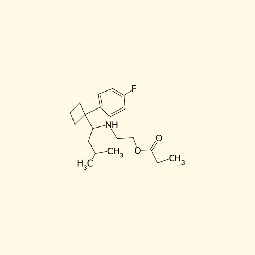 CCC(=O)OCCNC(CC(C)C)C1(c2ccc(F)cc2)CCC1